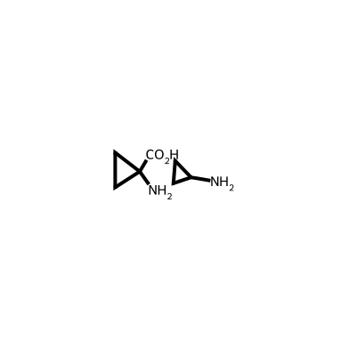 NC1(C(=O)O)CC1.NC1CC1